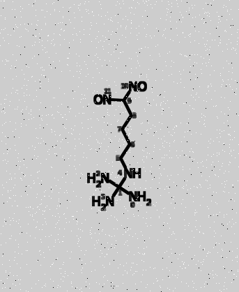 NC(N)(N)NCCCCC(N=O)N=O